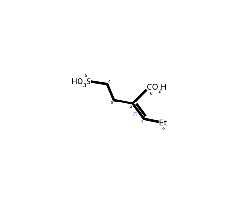 CC/C=C(/CCS(=O)(=O)O)C(=O)O